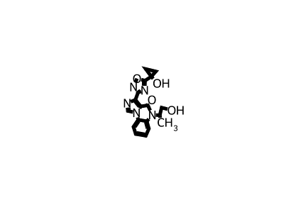 CC(CO)n1c(=O)c2c(-c3noc(C4(O)CC4)n3)ncn2c2ccccc21